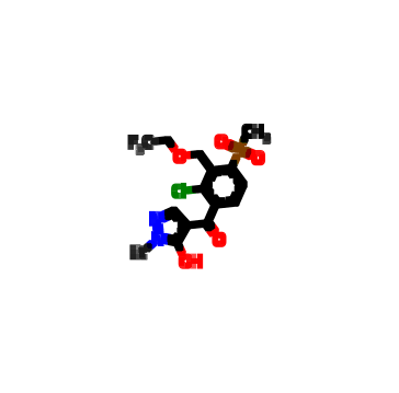 CCn1ncc(C(=O)c2ccc(S(C)(=O)=O)c(COCC(F)(F)F)c2Cl)c1O